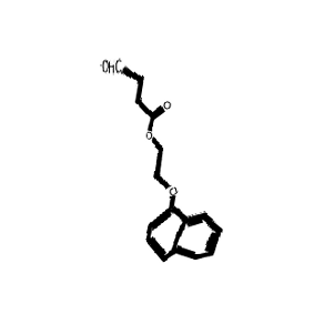 O=[C]CCC(=O)OCCOc1cccc2ccccc12